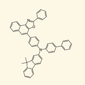 CC1(C)c2ccccc2-c2ccc(N(c3ccc(-c4ccccc4)cc3)c3ccc(-c4cc5ccccc5c5nc(-c6ccccc6)oc45)cc3)cc21